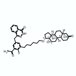 C[C@@]12CCC(=O)C[C@H]1CC[C@H]1[C@H]2CC[C@]2(C)[C@@H]1CC[C@H]2OCCCCCCc1cc(Cc2n[nH]c(=O)c3ccccc23)cc(C(N)=O)c1F